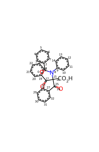 O=C(c1ccccc1)N(c1ccccc1)C(C(=O)O)(C(=O)c1ccccc1)C(=O)c1ccccc1